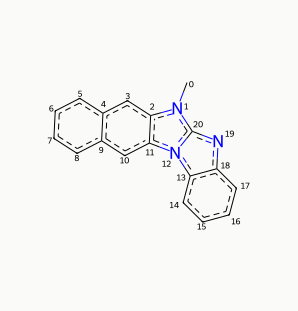 Cn1c2cc3ccccc3cc2n2c3ccccc3nc12